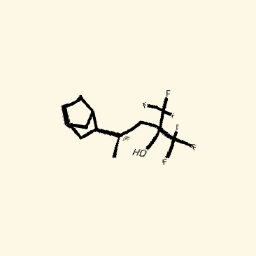 C[C@H](CC(O)(C(F)(F)F)C(F)(F)F)C1CC2CCC1C2